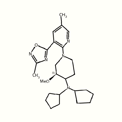 CO[C@H]1CN(c2ncc(C)cc2-c2nc(C)no2)CCC1N(C1CCCC1)C1CCCC1